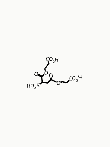 O=C(O)CCOC(=O)CC(C(=O)OCCC(=O)O)S(=O)(=O)O